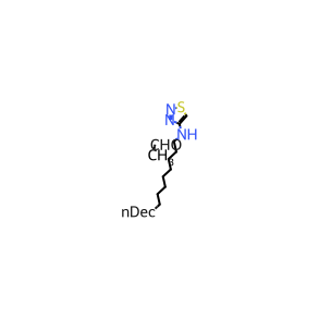 CC=O.CCCCCCCCCCCCCCCCCCNc1csnn1